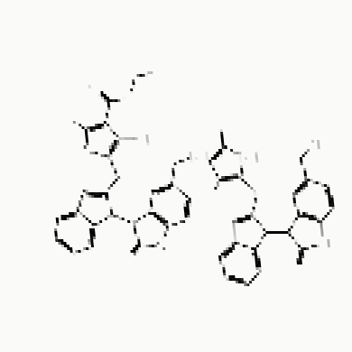 CCOC(=O)c1c(C)[nH]c(CC2=Cc3ccccc3C2C2C(=O)Nc3ccc(CN)cc32)c1C.Cc1cc(C)c(CC2=Cc3ccccc3C2C2C(=O)Nc3ccc(CN)cc32)[nH]1